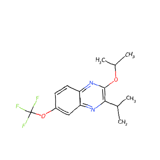 CC(C)Oc1nc2ccc(OC(F)(F)F)cc2nc1C(C)C